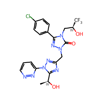 C[C@H](O)c1nc(Cn2nc(-c3ccc(Cl)cc3)n(C[C@H](O)C(F)(F)F)c2=O)nn1-c1cccnn1